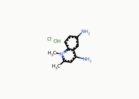 Cc1cc(N)c2cc(N)ccc2[n+]1C.Cl.[Cl-]